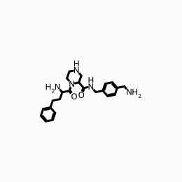 NCc1ccc(CNC(=O)C2CNCCN2C(=O)C(N)CCc2ccccc2)cc1